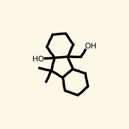 CC1(C)C2CCCCC2C2(CO)CCCCC12O